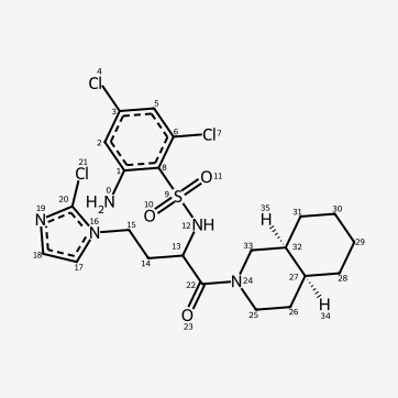 Nc1cc(Cl)cc(Cl)c1S(=O)(=O)NC(CCn1ccnc1Cl)C(=O)N1CC[C@@H]2CCCC[C@@H]2C1